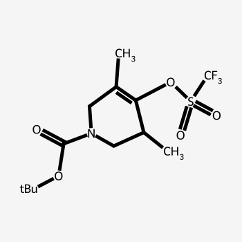 CC1=C(OS(=O)(=O)C(F)(F)F)C(C)CN(C(=O)OC(C)(C)C)C1